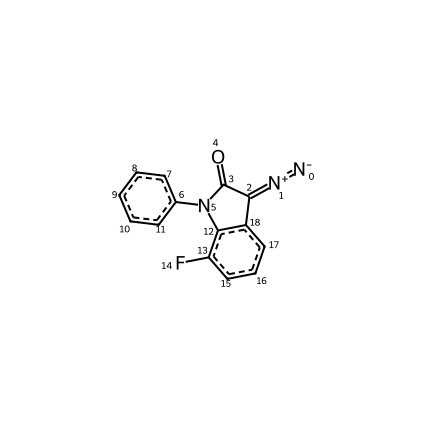 [N-]=[N+]=C1C(=O)N(c2ccccc2)c2c(F)cccc21